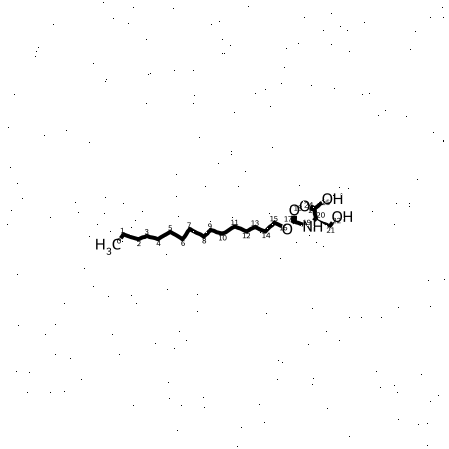 CCCCCCCCCCCCCCCCOC(=O)N[C@H](CO)C(=O)O